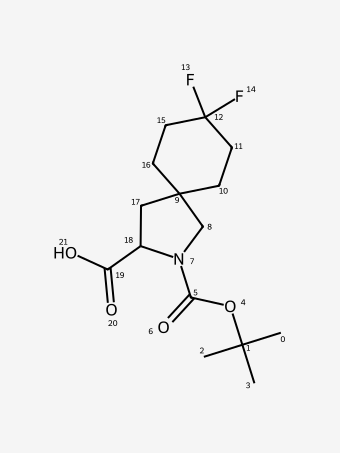 CC(C)(C)OC(=O)N1CC2(CCC(F)(F)CC2)CC1C(=O)O